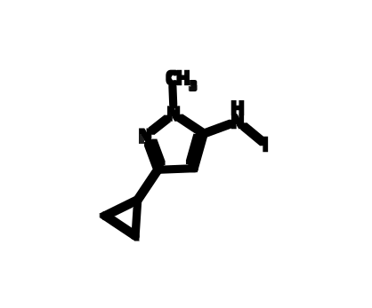 Cn1nc(C2CC2)cc1NI